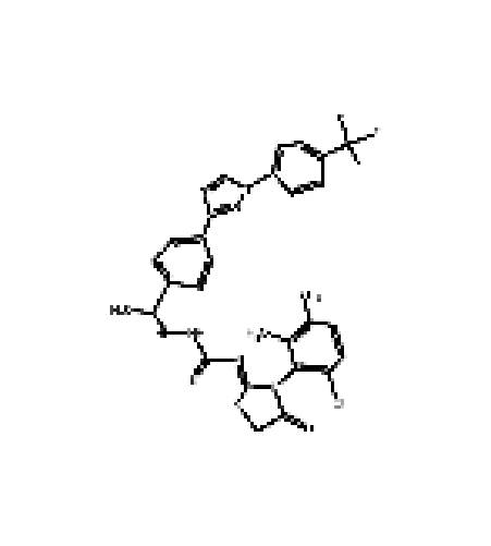 Cc1ccc(Cl)c(N2C(=O)CS/C2=N\C(=S)NNC(C)c2ccc(-c3ncn(-c4ccc(C(F)(F)F)cc4)n3)cc2)c1C